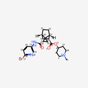 CN1CCC(OC(=O)[C@H]2[C@H](C(=O)Nc3ccc(Br)nc3)[C@@H]3CC[C@H]2C32CC2)CC1